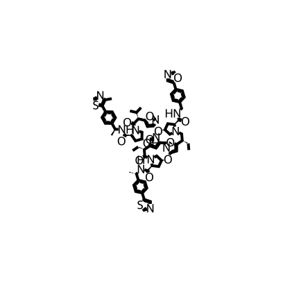 CC[C@@H](CN1C[C@H](Oc2cc([C@H](C(=O)N3C[C@H](O)C[C@H]3C(=O)N[C@@H](C)c3ccc(-c4scnc4C)cc3)C(C)C)on2)C[C@H]1C(=O)NCc1ccc(-c2cnco2)cc1)c1cc(O[C@@H]2C[C@@H](C(=O)N[C@@H](C)c3ccc(-c4cncs4)cc3)N(C(=O)[C@H](CC)c3cc(C)no3)C2)no1